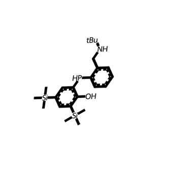 CC(C)(C)NCc1ccccc1Pc1cc([Si](C)(C)C)cc([Si](C)(C)C)c1O